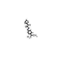 CC(C)c1ccc(/C=C/C(=O)NC2=NCCS2)cc1